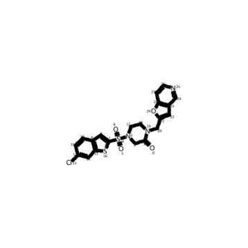 O=C1CN(S(=O)(=O)c2cc3ccc(Cl)cc3s2)CCN1Cc1cc2cnccc2o1